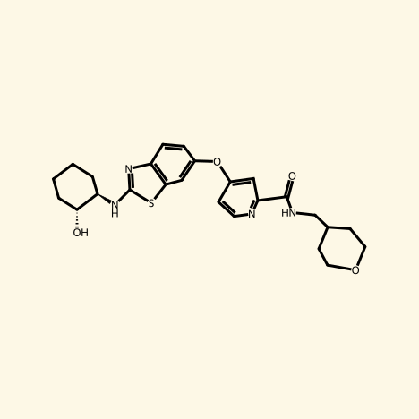 O=C(NCC1CCOCC1)c1cc(Oc2ccc3nc(N[C@@H]4CCCC[C@H]4O)sc3c2)ccn1